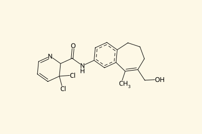 CC1=C(CO)CCCc2ccc(NC(=O)C3N=CC=CC3(Cl)Cl)cc21